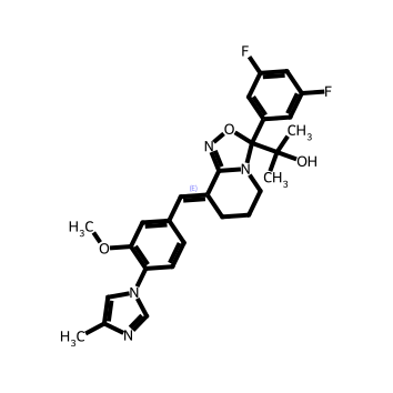 COc1cc(/C=C2\CCCN3C2=NOC3(c2cc(F)cc(F)c2)C(C)(C)O)ccc1-n1cnc(C)c1